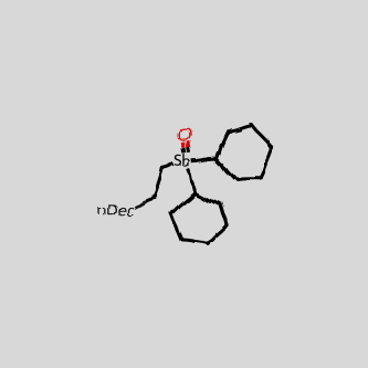 CCCCCCCCCCC[CH2][Sb](=[O])([CH]1CCCCC1)[CH]1CCCCC1